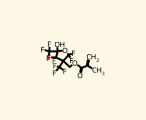 C=C(C)C(=O)OCC1(C(F)(F)F)C(F)(F)OC(O)(C(F)(F)F)C1(F)F